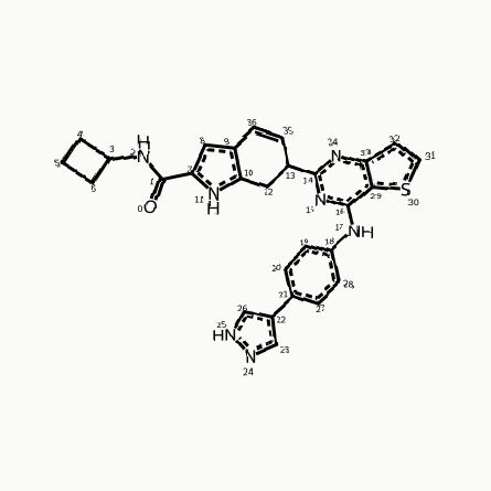 O=C(NC1CCC1)c1cc2c([nH]1)CC(c1nc(Nc3ccc(-c4cn[nH]c4)cc3)c3sccc3n1)C=C2